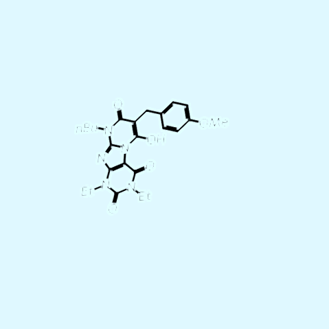 CCCCn1c(=O)c(Cc2ccc(OC)cc2)c(O)n2c3c(=O)n(CC)c(=O)n(CC)c3nc12